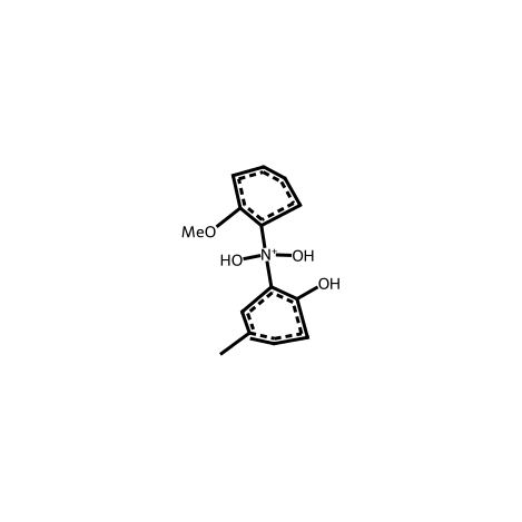 COc1ccccc1[N+](O)(O)c1cc(C)ccc1O